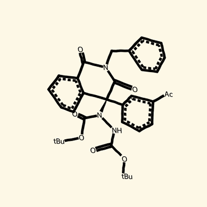 CC(=O)c1cccc([C@@]2(N(NC(=O)OC(C)(C)C)C(=O)OC(C)(C)C)C(=O)N(Cc3ccccc3)C(=O)c3ccccc32)c1